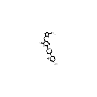 N#CC1=CNC(C2=CCN(c3ncn(Cc4ccc(C(F)(F)F)s4)c(=O)n3)CC2)C=C1